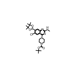 CNc1nc(N2CCN(C(=O)OC(C)(C)C)CC2)c2cc(Cl)c(B3OC(C)(C)C(C)(C)O3)cc2n1